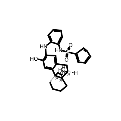 O=S(=O)(Nc1ccccc1Nc1cc2c(cc1O)[C@]13CCCC[C@@H]1[C@H](C2)NCC3)c1ccccc1